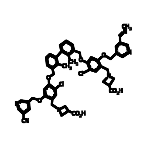 C/N=C/c1cncc(COc2cc(OCc3cccc(-c4cccc(COc5cc(OCc6cncc(C#N)c6)c(CN6CC(C(=O)O)C6)cc5Cl)c4C)c3C)c(Cl)cc2CN2CC(C(=O)O)C2)c1